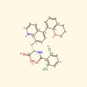 O=C(N[C@@H](Cc1ccc(-c2cccc3c2OCCC3)c2cccnc12)C(=O)O)c1c(Cl)cccc1Cl